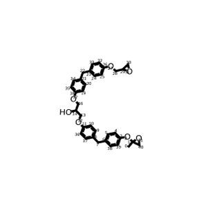 CC1(Oc2ccc(Cc3ccc(OCC(O)COc4ccc(Cc5ccc(OCC6CO6)cc5)cc4)cc3)cc2)CO1